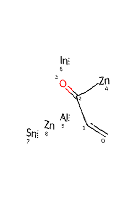 C=C[C](=O)[Zn].[Al].[In].[Sn].[Zn]